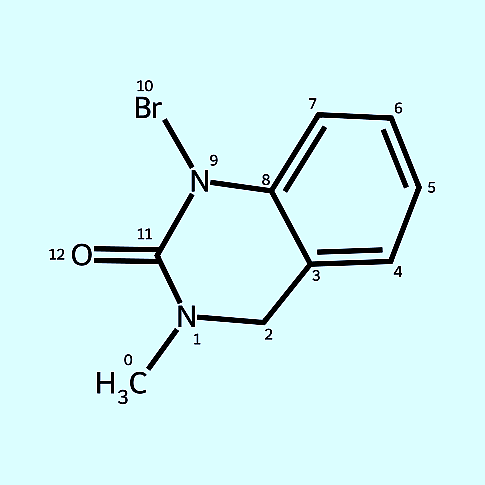 CN1Cc2ccccc2N(Br)C1=O